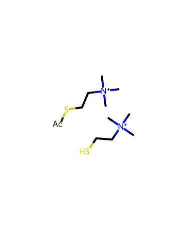 CC(=O)SCC[N+](C)(C)C.C[N+](C)(C)CCS